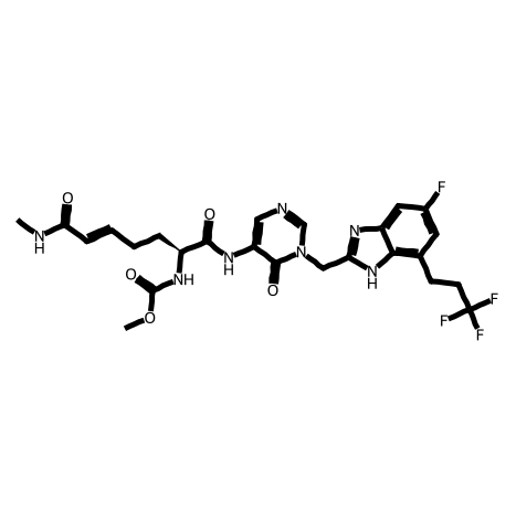 CNC(=O)/C=C/CC[C@H](NC(=O)OC)C(=O)Nc1cncn(Cc2nc3cc(F)cc(CCC(F)(F)F)c3[nH]2)c1=O